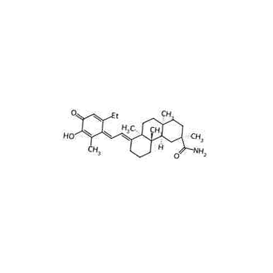 CCC1=CC(=O)C(O)=C(C)/C1=C/C=C1\CCC[C@@]2(C)[C@@H]3C[C@](C)(C(N)=O)CC[C@]3(C)CC[C@]12C